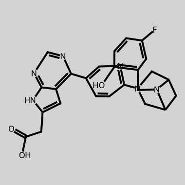 O=C(O)Cc1cc2c(-c3ccc(N4CC5CC(C4)N5Cc4cc(F)ccc4O)nc3)ncnc2[nH]1